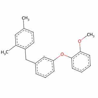 COc1ccccc1Oc1[c]c(Cc2ccc(C)cc2C)ccc1